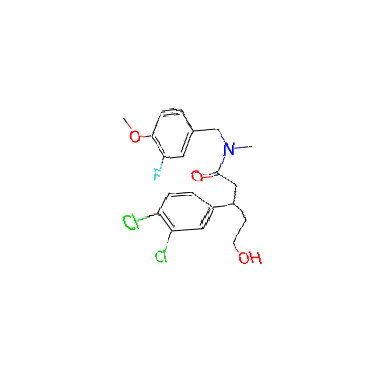 COc1ccc(CN(C)C(=O)CC(CCO)c2ccc(Cl)c(Cl)c2)cc1F